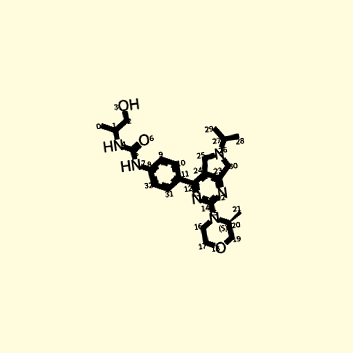 CC(CO)NC(=O)Nc1ccc(-c2nc(N3CCOC[C@@H]3C)nc3c2CN(C(C)C)C3)cc1